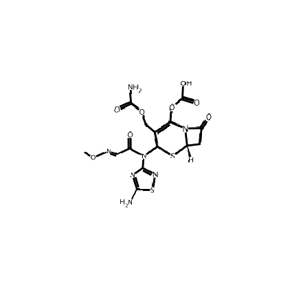 CON=CC(=O)N(c1nsc(N)n1)C1S[C@H]2CC(=O)N2C(OC(=O)O)=C1COC(N)=O